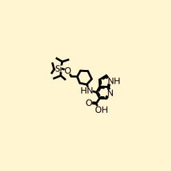 CC(C)[Si](OCC1CCCC(Nc2c(C(=O)O)cnc3[nH]ccc23)C1)(C(C)C)C(C)C